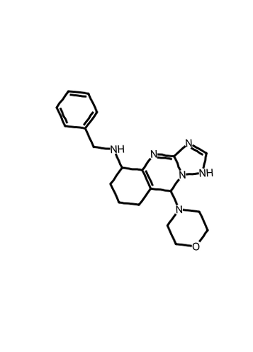 C1=NC2=NC3=C(CCCC3NCc3ccccc3)C(N3CCOCC3)N2N1